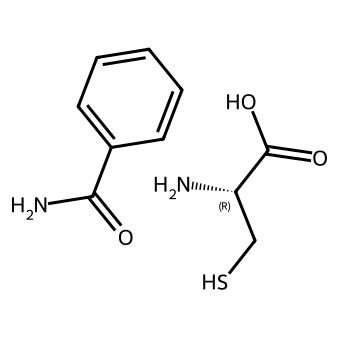 NC(=O)c1ccccc1.N[C@@H](CS)C(=O)O